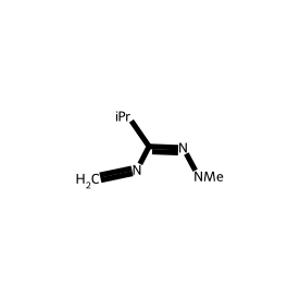 C=N/C(=N\NC)C(C)C